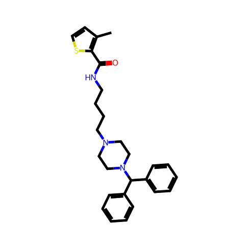 Cc1ccsc1C(=O)NCCCCN1CCN(C(c2ccccc2)c2ccccc2)CC1